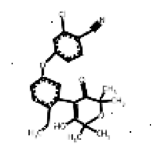 CCc1ccc(Oc2ccc(C#N)c(Cl)c2)cc1C1=C(O)C(C)(C)OC(C)(C)C1=O